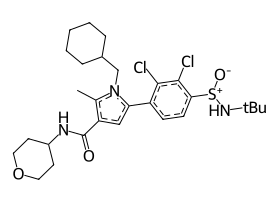 Cc1c(C(=O)NC2CCOCC2)cc(-c2ccc([S+]([O-])NC(C)(C)C)c(Cl)c2Cl)n1CC1CCCCC1